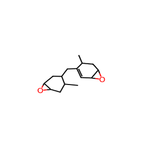 CC1CC2OC2C=C1CC1CC2OC2CC1C